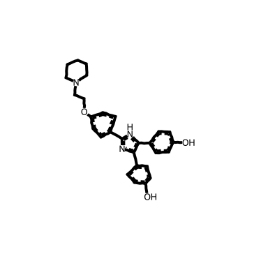 Oc1ccc(-c2nc(-c3ccc(OCCN4CCCCC4)cc3)[nH]c2-c2ccc(O)cc2)cc1